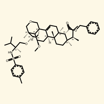 CO[C@@H]1C[C@@]23COC[C@@](C)([C@@H]2CC[C@H]2C3=CC[C@@]3(C)[C@H](C(=O)OCc4ccccc4)[C@@](C)([C@H](C)C(C)C)CC[C@]23C)[C@H]1OC[C@@](C)(NS(=O)(=O)c1ccc(C)cc1)C(C)C